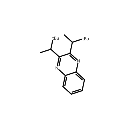 CC(c1nc2ccccc2nc1C(C)C(C)(C)C)C(C)(C)C